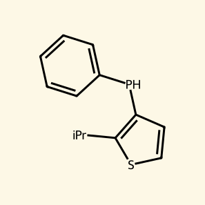 CC(C)c1sccc1Pc1ccccc1